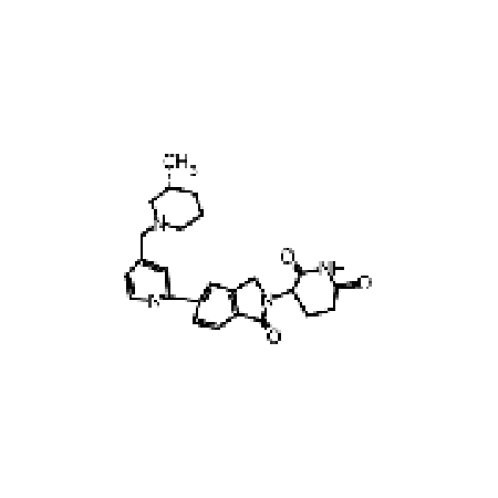 C[C@@H]1CCCN(Cc2ccnc(-c3ccc4c(c3)CN(C3CCC(=O)NC3=O)C4=O)c2)C1